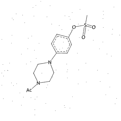 CC(=O)N1CCN(c2ccc(OS(C)(=O)=O)cc2)CC1